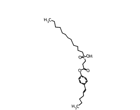 CCCCC=Cc1ccc(OC(=O)CCP(=O)(O)CCCCCCCCCCCC)cc1